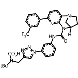 CC(C)(C)N(Cc1cn(-c2cccc(NC(=O)N3c4nc(-c5cccc(C(F)(F)F)c5)ccc4N4CC[C@H]3C4)c2)nn1)C(=O)O